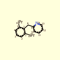 CC(C)c1cccc(C(C)C)c1Cc1ccccn1